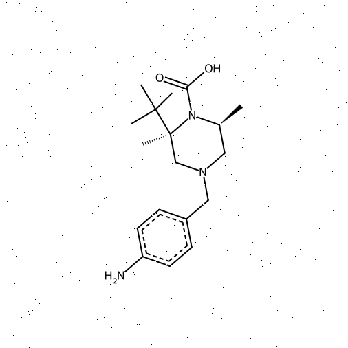 C[C@H]1CN(Cc2ccc(N)cc2)C[C@@](C)(C(C)(C)C)N1C(=O)O